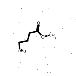 CCCCCCCC(=O)[O][AlH2]